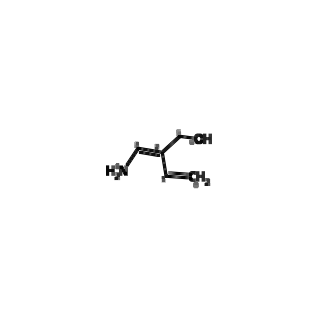 C=C/C(=C\N)CO